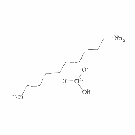 CCCCCCCCCCCCCCCCCCN.[O-][Cl+2]([O-])O